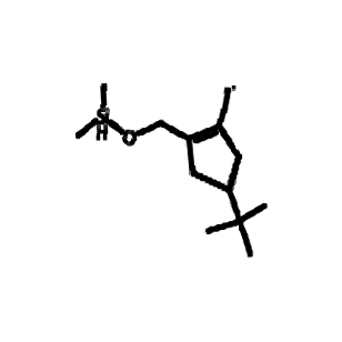 [CH2]C1=C(CO[SiH](C)C)CC(C(C)(C)C)C1